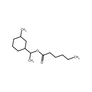 CCCCCC(=O)OC(C)C1CCCC(C)C1